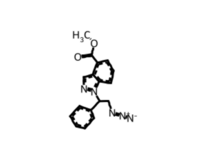 COC(=O)c1cccc2c1cnn2C(CN=[N+]=[N-])c1ccccc1